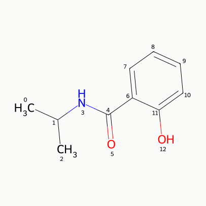 CC(C)NC(=O)c1ccccc1O